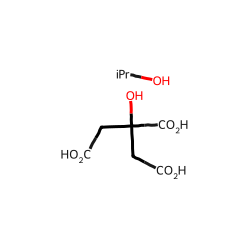 CC(C)O.O=C(O)CC(O)(CC(=O)O)C(=O)O